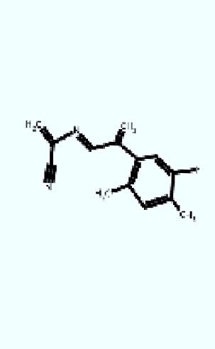 C=C(C#N)/N=C/C(=C)c1cc(F)c(C)cc1C